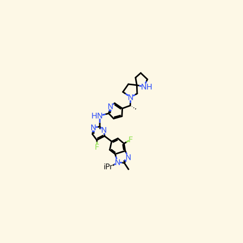 Cc1nc2c(F)cc(-c3nc(Nc4ccc([C@@H](C)N5CCC6(CCCN6)C5)cn4)ncc3F)cc2n1C(C)C